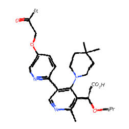 CCC(=O)COc1ccc(-c2cnc(C)c([C@H](OC(C)C)C(=O)O)c2N2CCC(C)(C)CC2)nc1